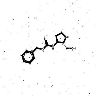 O=C(NC1CCN[C@@H]1CO)OCc1ccccc1